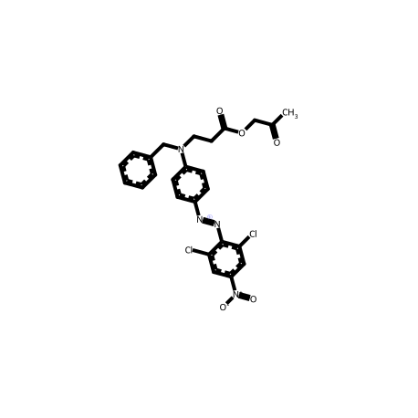 CC(=O)COC(=O)CCN(Cc1ccccc1)c1ccc(/N=N/c2c(Cl)cc([N+](=O)[O-])cc2Cl)cc1